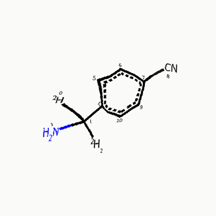 [2H]C([2H])(N)c1ccc(C#N)cc1